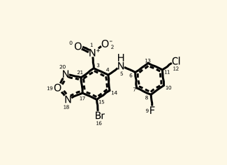 O=[N+]([O-])c1c(Nc2cc(F)cc(Cl)c2)cc(Br)c2nonc12